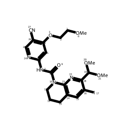 COCCOc1cc(NC(=O)N2CCCc3cc(I)c(C(OC)OC)nc32)ncc1C#N